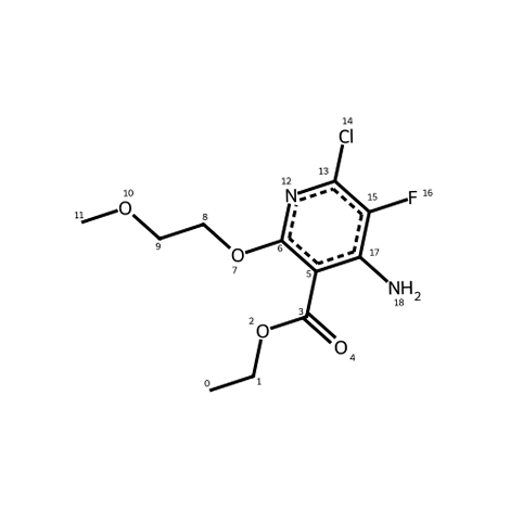 CCOC(=O)c1c(OCCOC)nc(Cl)c(F)c1N